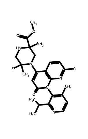 COC(=O)C1(N)CN(c2cc(=O)n(-c3c(C)ccnc3C(C)C)c3nc(Cl)ccc23)C(C)(F)CN1